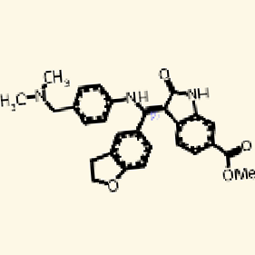 COC(=O)c1ccc2c(c1)NC(=O)/C2=C(\Nc1ccc(CN(C)C)cc1)c1ccc2c(c1)CCO2